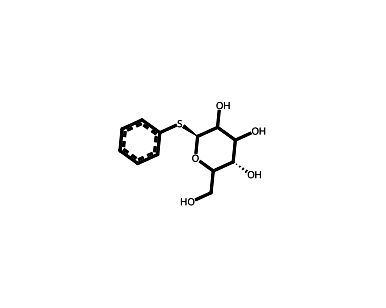 OCC1O[C@@H](Sc2ccccc2)C(O)C(O)[C@@H]1O